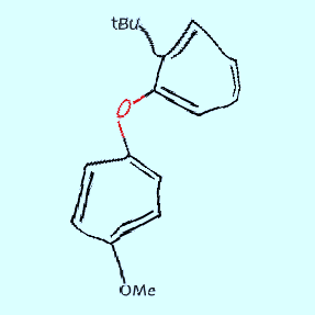 COc1ccc(Oc2ccccc2C(C)(C)C)cc1